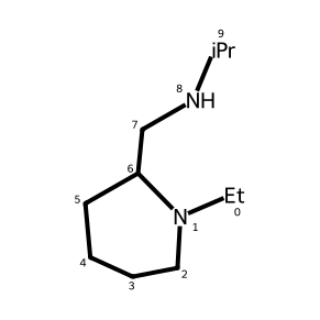 CCN1CCCCC1CNC(C)C